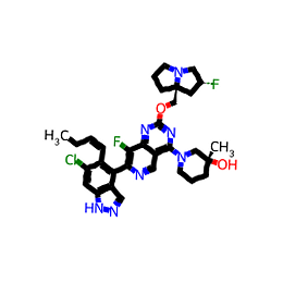 CC/C=C\c1c(Cl)cc2[nH]ncc2c1-c1ncc2c(N3CCC[C@@](C)(O)C3)nc(OC[C@@]34CCCN3C[C@H](F)C4)nc2c1F